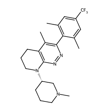 Cc1cc(C(F)(F)F)cc(C)c1-c1nnc2c(c1C)CCCN2[C@H]1CCCN(C)C1